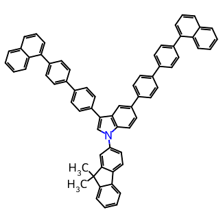 CC1(C)c2ccccc2-c2ccc(-n3cc(-c4ccc(-c5ccc(-c6cccc7ccccc67)cc5)cc4)c4cc(-c5ccc(-c6ccc(-c7cccc8ccccc78)cc6)cc5)ccc43)cc21